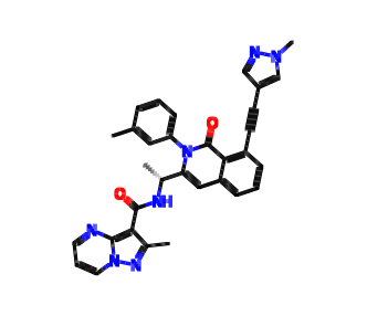 Cc1cccc(-n2c([C@@H](C)NC(=O)c3c(C)nn4cccnc34)cc3cccc(C#Cc4cnn(C)c4)c3c2=O)c1